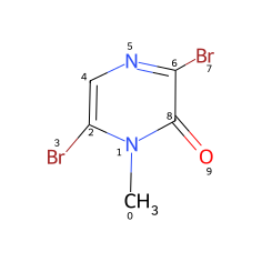 Cn1c(Br)cnc(Br)c1=O